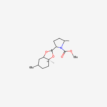 CC1CCC(B2OC3CC(C(C)(C)C)CC[C@]3(C)O2)N1C(=O)OC(C)(C)C